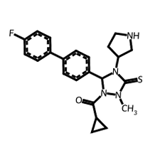 CN1C(=S)N(C2CCNC2)C(c2ccc(-c3ccc(F)cc3)cc2)N1C(=O)C1CC1